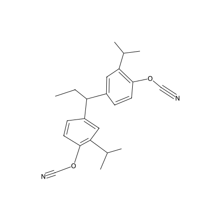 CCC(c1ccc(OC#N)c(C(C)C)c1)c1ccc(OC#N)c(C(C)C)c1